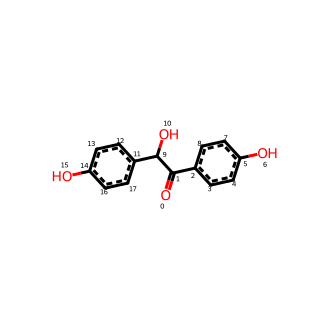 O=C(c1ccc(O)cc1)C(O)c1ccc(O)cc1